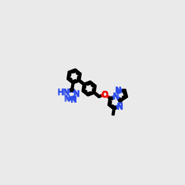 Cc1cc(OCc2ccc(-c3ccccc3-c3nnn[nH]3)cc2)n2nccc2n1